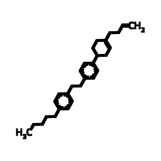 C=CCCC1=CCC(c2ccc(CCc3ccc(CCCCC)cc3)cc2)CC1